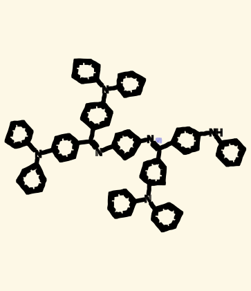 c1ccc(Nc2ccc(/C(=N/c3ccc(N=C(c4ccc(N(c5ccccc5)c5ccccc5)cc4)c4ccc(N(c5ccccc5)c5ccccc5)cc4)cc3)c3ccc(N(c4ccccc4)c4ccccc4)cc3)cc2)cc1